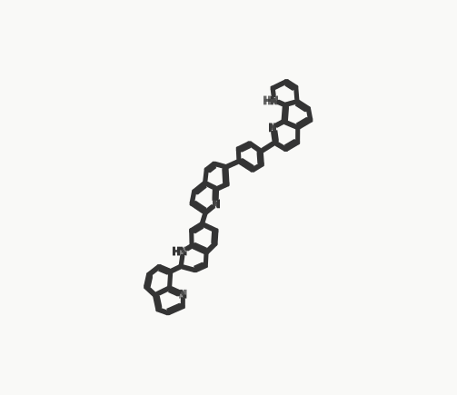 C1=Cc2ccc3ccc(-c4ccc(-c5ccc6ccc(-c7ccc8c(c7)NC(c7cccc9cccnc79)C=C8)nc6c5)cc4)nc3c2NC1